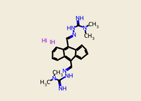 CN(C)C(=N)NN=Cc1c2ccccc2c(C=NNC(=N)N(C)C)c2ccccc12.I.I